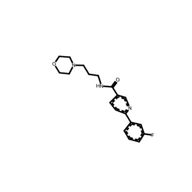 O=C(NCCCN1CCOCC1)c1ccc(-c2cccc(F)c2)nc1